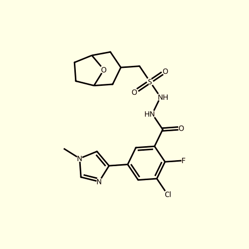 Cn1cnc(-c2cc(Cl)c(F)c(C(=O)NNS(=O)(=O)CC3CC4CCC(C3)O4)c2)c1